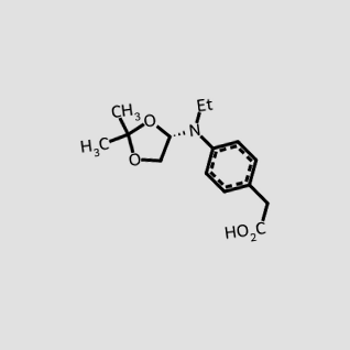 CCN(c1ccc(CC(=O)O)cc1)[C@@H]1COC(C)(C)O1